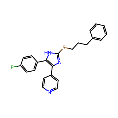 Fc1ccc(-c2[nH]c(SCCCc3ccccc3)nc2-c2ccncc2)cc1